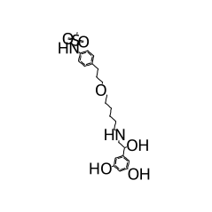 CS(=O)(=O)Nc1ccc(CCCOCCCCCCNCC(O)c2cc(O)cc(O)c2)cc1